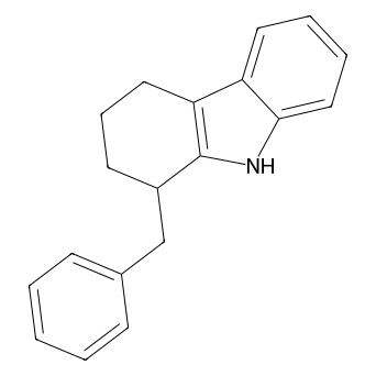 c1ccc(CC2CCCc3c2[nH]c2ccccc32)cc1